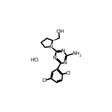 Cl.Nc1nc(-c2cc(Cl)ccc2Cl)nc(N2CCC[C@H]2CO)n1